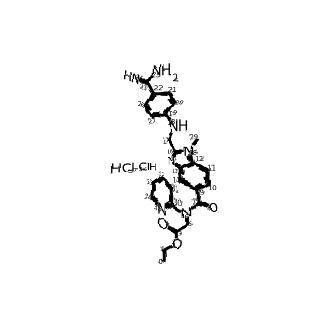 CCOC(=O)CN(C(=O)c1ccc2c(c1)nc(CNc1ccc(C(=N)N)cc1)n2C)c1ccccn1.Cl.Cl